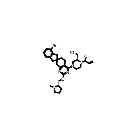 C=CC(O)N1CCN(c2nc(OC[C@@H]3CCCN3C)nc3c2CCC2(Cc4cccc(Br)c4C2)C3)C[C@@H]1CC#N